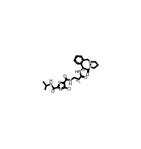 CC(C)NC(=O)c1nc(Cl)c(C(=O)NC[C@@H](C)C(=O)N[C@@H]2C(=O)N3CCCN3Cc3ccccc32)s1